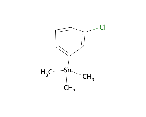 [CH3][Sn]([CH3])([CH3])[c]1cccc(Cl)c1